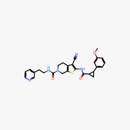 COc1cccc(C2CC2C(=O)Nc2sc3c(c2C#N)CCN(C(=O)NCCc2cccnc2)C3)c1